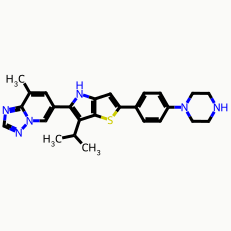 Cc1cc(-c2[nH]c3cc(-c4ccc(N5CCNCC5)cc4)sc3c2C(C)C)cn2ncnc12